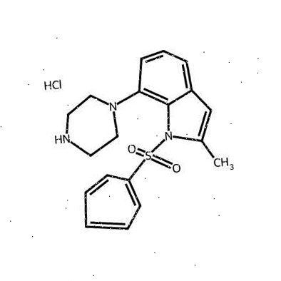 Cc1cc2cccc(N3CCNCC3)c2n1S(=O)(=O)c1ccccc1.Cl